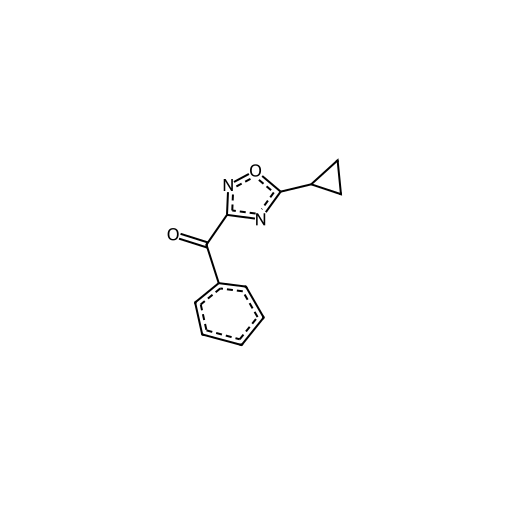 O=C(c1ccccc1)c1noc(C2CC2)n1